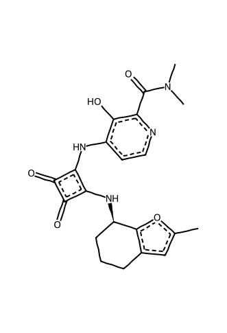 Cc1cc2c(o1)[C@H](Nc1c(Nc3ccnc(C(=O)N(C)C)c3O)c(=O)c1=O)CCC2